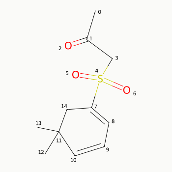 CC(=O)CS(=O)(=O)C1=CC=CC(C)(C)C1